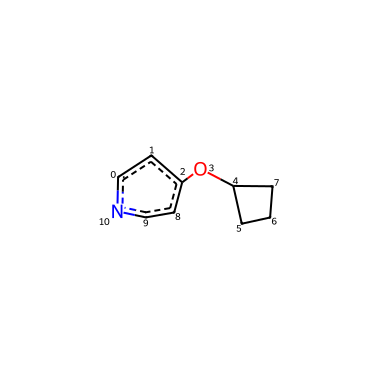 [c]1cc(OC2CCC2)ccn1